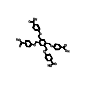 O=C(O)c1ccc(OCc2cc(COc3ccc(C(=O)O)cc3)c(COc3ccc(C(=O)O)cc3)cc2COc2ccc(C(=O)O)cc2)cc1